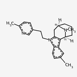 Cc1ccc2c(c1)c1c(n2CCc2ccc(C)nc2)C[C@H]2CCC[C@@H]1N2C